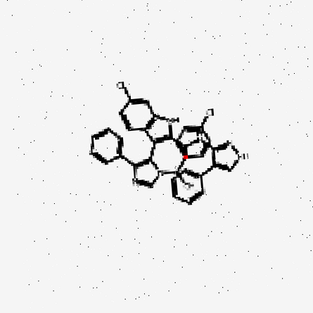 CC(c1ccc(Cl)cc1)n1cnc(-c2ccccc2)c1-c1c(C(=O)Nc2n[nH]cc2-c2ccccc2)[nH]c2cc(Cl)ccc12